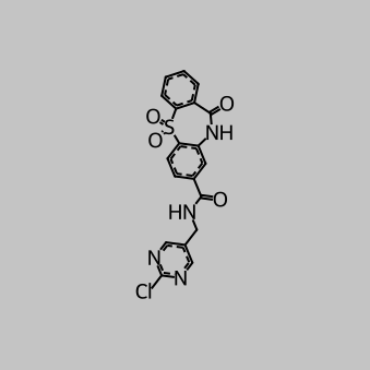 O=C(NCc1cnc(Cl)nc1)c1ccc2c(c1)NC(=O)c1ccccc1S2(=O)=O